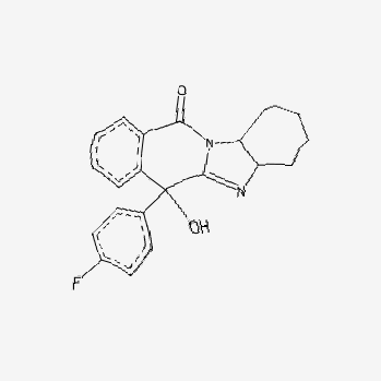 O=C1c2ccccc2C(O)(c2ccc(F)cc2)C2=NC3CCCCC3N12